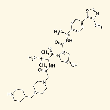 Cc1ncsc1-c1ccc([C@H](C)NC(=O)[C@@H]2C[C@@H](O)CN2C(=O)C(NC(=O)CN2CCN(CC3CCNCC3)CC2)C(C)(C)C)cc1